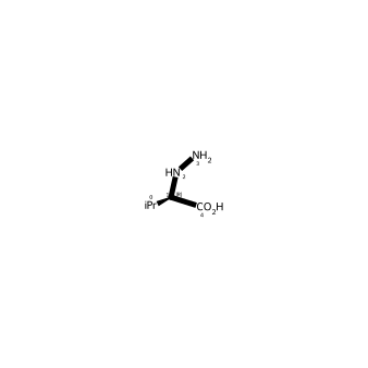 CC(C)[C@@H](NN)C(=O)O